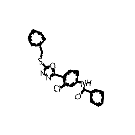 O=C(Nc1ccc(-c2nnc(SCc3ccccc3)o2)c(Cl)c1)c1ccccc1